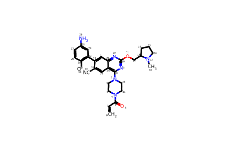 C=CC(=O)N1CCN(c2nc(OCC3CCCN3C)nc3cc(-c4cc(N)ccc4C(F)(F)F)c(C#N)cc23)CC1